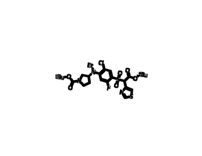 CCN(c1cc(F)c(S(=O)(=O)C(C(=O)OC(C)(C)C)c2cscn2)cc1Cl)[C@H]1CCN(C(=O)OC(C)(C)C)C1